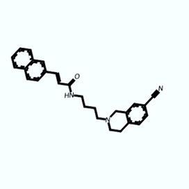 N#Cc1ccc2c(c1)CN(CCCCNC(=O)/C=C/c1ccc3ccccc3c1)CC2